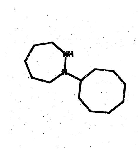 C1CCC[C](N2CCCCCN2)CCC1